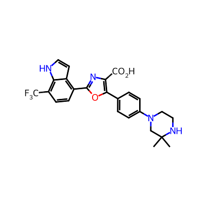 CC1(C)CN(c2ccc(-c3oc(-c4ccc(C(F)(F)F)c5[nH]ccc45)nc3C(=O)O)cc2)CCN1